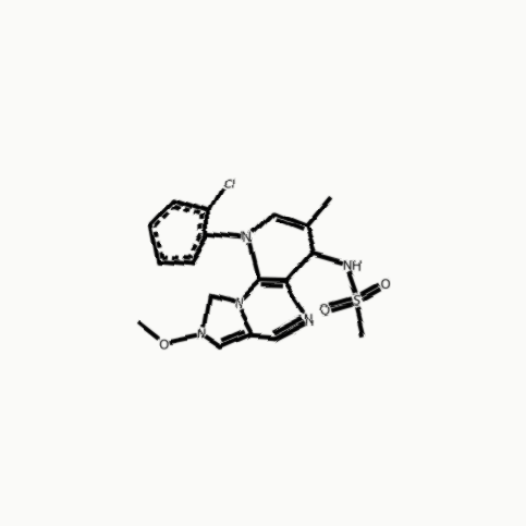 CON1C=C2C=NC3=C(N2C1)N(c1ccccc1Cl)C=C(C)C3NS(C)(=O)=O